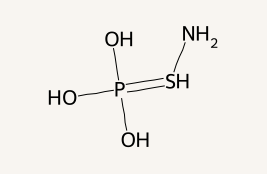 N[SH]=P(O)(O)O